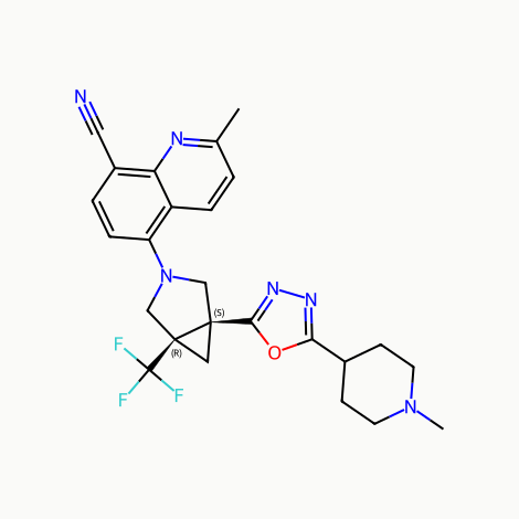 Cc1ccc2c(N3C[C@]4(c5nnc(C6CCN(C)CC6)o5)C[C@]4(C(F)(F)F)C3)ccc(C#N)c2n1